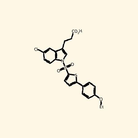 CCOc1ccc(-c2ccc(S(=O)(=O)n3cc(CCC(=O)O)c4cc(Cl)ccc43)s2)cc1